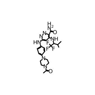 CC(=O)N1CCN(c2ccc(Nc3cc(NC(C(C)C)C(F)(F)F)c(C(N)=O)nn3)cc2)CC1